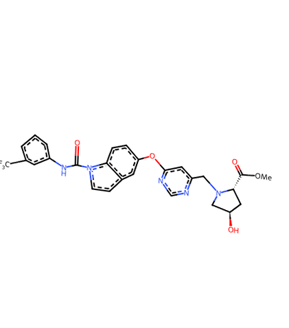 COC(=O)[C@@H]1C[C@@H](O)CN1Cc1cc(Oc2ccc3c(ccn3C(=O)Nc3cccc(C(F)(F)F)c3)c2)ncn1